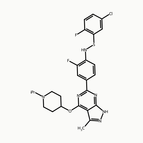 Cc1n[nH]c2nc(-c3ccc(NSc4cc(Cl)ccc4F)c(F)c3)nc(OC3CCN(C(C)C)CC3)c12